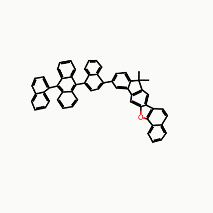 CC1(C)c2ccc(-c3ccc(-c4c5ccccc5c(-c5cccc6ccccc56)c5ccccc45)c4ccccc34)cc2-c2cc3oc4c5ccccc5ccc4c3cc21